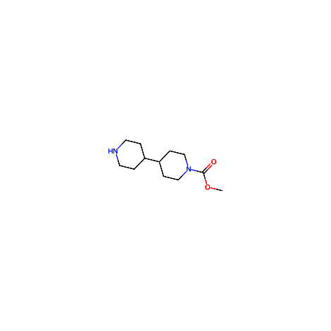 COC(=O)N1CCC(C2CCNCC2)CC1